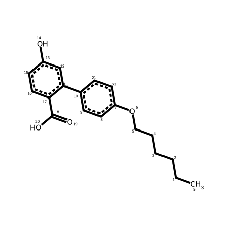 CCCCCCOc1ccc(-c2cc(O)ccc2C(=O)O)cc1